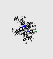 CC(C)(C)c1ccc(N2c3ccc(C(C)(C)C)cc3B3c4ccc(C(C)(C)C)cc4N(c4ccc(Cl)cc4)c4cc(C(C)(C)C)cc2c43)cc1